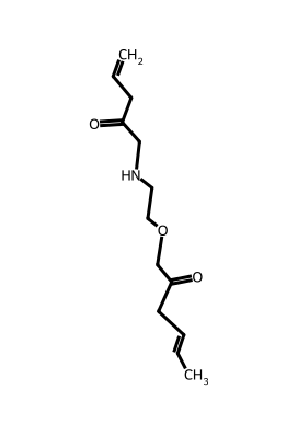 C=CCC(=O)CNCCOCC(=O)C/C=C/C